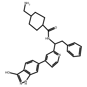 NCC1CCC(C(=O)NC(Cc2ccccc2)c2cc(-c3ccc4c(O)n[nH]c4c3)ccn2)CC1